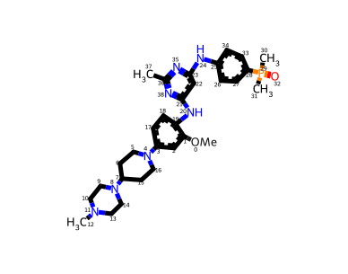 COc1cc(N2CCC(N3CCN(C)CC3)CC2)ccc1Nc1cc(Nc2ccc(P(C)(C)=O)cc2)nc(C)n1